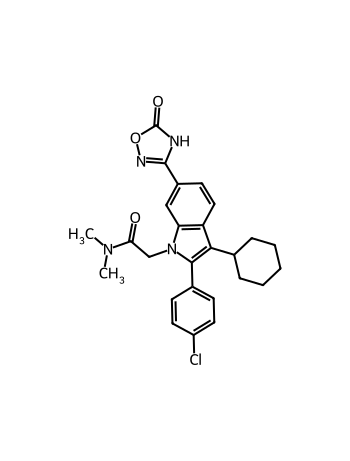 CN(C)C(=O)Cn1c(-c2ccc(Cl)cc2)c(C2CCCCC2)c2ccc(-c3noc(=O)[nH]3)cc21